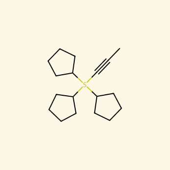 CC#CS(C1CCCC1)(C1CCCC1)C1CCCC1